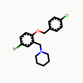 Clc1ccc(COc2ccc(Br)cc2CN2CC[CH]CC2)cc1